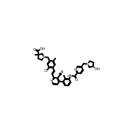 Cc1cc(/C=C/c2nccc(-c3cccc(NC(=O)c4ccc(CN5CC[C@@H](O)C5)cn4)c3C)c2C#N)c(Cl)cc1CN1CCC(C)(C(=O)O)C1